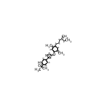 CCN(C)CCCc1cc(C)c(Oc2nc(-c3ccc(C(C)(C)C)cc3)ns2)cc1C